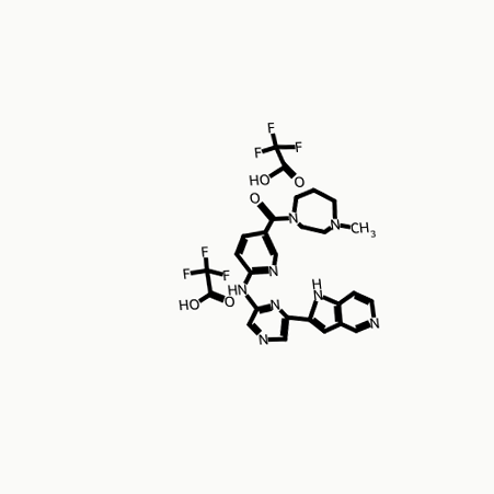 CN1CCCN(C(=O)c2ccc(Nc3cncc(-c4cc5cnccc5[nH]4)n3)nc2)CC1.O=C(O)C(F)(F)F.O=C(O)C(F)(F)F